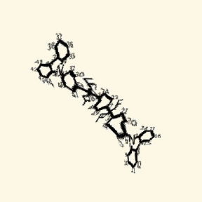 FC(F)(c1ccc(-n2c3ccccc3c3ccccc32)cc1)c1ccc(C(F)(F)c2ccc(-n3c4ccccc4c4ccccc43)cc2)cc1